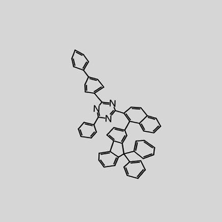 c1ccc(-c2ccc(-c3nc(-c4ccccc4)nc(-c4ccc5ccccc5c4-c4ccc5c(c4)C(c4ccccc4)(c4ccccc4)c4ccccc4-5)n3)cc2)cc1